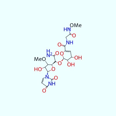 CONC(=O)CNC(=O)C1=CC(O)C(O)[C@@H](OC(C(N)=O)[C@H]2O[C@@H](n3ccc(=O)[nH]c3=O)C(O)C2OC)O1